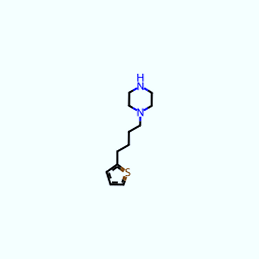 c1csc(CCCCN2CCNCC2)c1